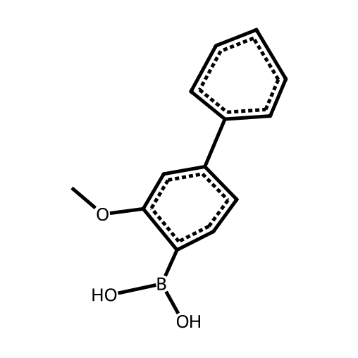 COc1cc(-c2ccccc2)ccc1B(O)O